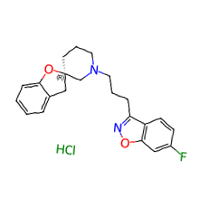 Cl.Fc1ccc2c(CCCN3CCC[C@@]4(Cc5ccccc5O4)C3)noc2c1